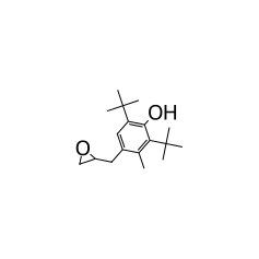 Cc1c(CC2CO2)cc(C(C)(C)C)c(O)c1C(C)(C)C